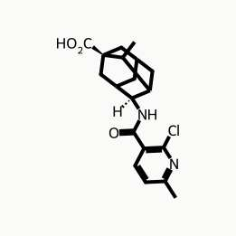 Cc1ccc(C(=O)N[C@H]2C3CC4CC2C(C)[C@@](C(=O)O)(C4)C3)c(Cl)n1